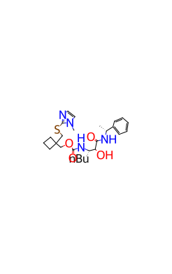 CCCC[C@H](NC(=O)OCC1(CSc2nccn2C)CCC1)C(O)C(=O)N[C@H](C)c1ccccc1